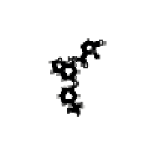 CN1C(=O)CCC1C(=O)Nc1cc(Oc2cccc(C(F)(F)F)c2)cc2ccoc12